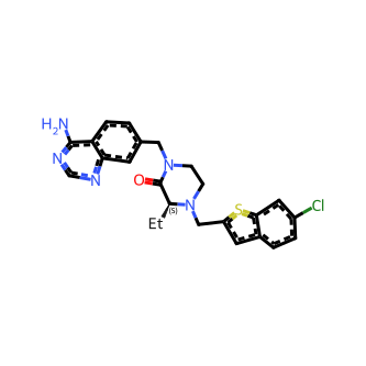 CC[C@H]1C(=O)N(Cc2ccc3c(N)ncnc3c2)CCN1Cc1cc2ccc(Cl)cc2s1